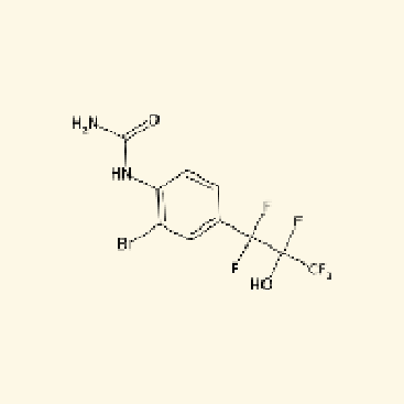 NC(=O)Nc1ccc(C(F)(F)C(O)(F)C(F)(F)F)cc1Br